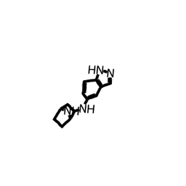 c1cc2[nH]ncc2cc1NC1CC2CCC1N2